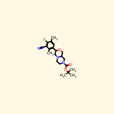 Cc1cc(C2CN3CCN(C(=O)OC(C)(C)C)CC3CO2)c(C)c(C#N)c1F